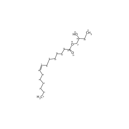 CCCCCC/C=C\CCCCCCC(=O)OCC(O)CC